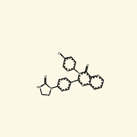 O=C1NCCN1c1ccc(-c2nc3cccnc3c(=O)n2-c2ccc(Cl)cn2)cc1